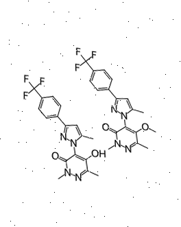 COc1c(C)nn(C)c(=O)c1-n1nc(-c2ccc(C(F)(F)F)cc2)cc1C.Cc1nn(C)c(=O)c(-n2nc(-c3ccc(C(F)(F)F)cc3)cc2C)c1O